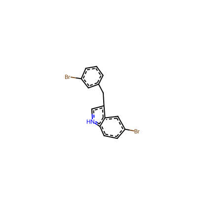 Brc1cccc(Cc2c[nH]c3ccc(Br)cc23)c1